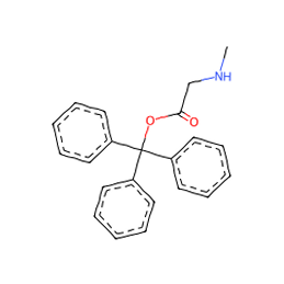 CNCC(=O)OC(c1ccccc1)(c1ccccc1)c1ccccc1